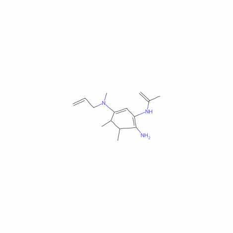 C=CCN(C)C1=CC(NC(=C)C)=C(N)C(C)C1C